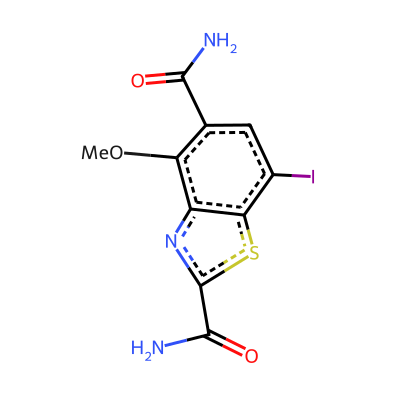 COc1c(C(N)=O)cc(I)c2sc(C(N)=O)nc12